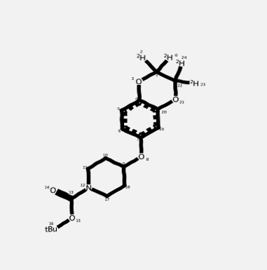 [2H]C1([2H])Oc2ccc(OC3CCN(C(=O)OC(C)(C)C)CC3)cc2OC1([2H])[2H]